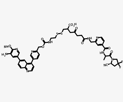 COc1ncc(-c2ccc3nccc(-c4ccc(COC(=O)NCCSSCC(CC(=O)CCC(=O)NCc5cc(C(=O)NC(C)C(=O)N6CC(F)(F)C[C@H]6C#N)ccn5)C(=O)O)nc4)c3c2)cc1N